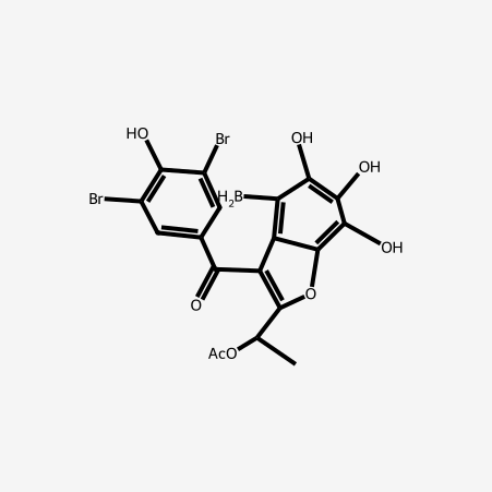 Bc1c(O)c(O)c(O)c2oc(C(C)OC(C)=O)c(C(=O)c3cc(Br)c(O)c(Br)c3)c12